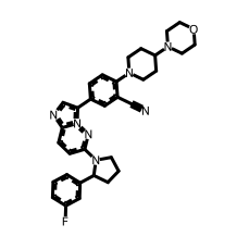 N#Cc1cc(-c2cnc3ccc(N4CCCC4c4cccc(F)c4)nn23)ccc1N1CCC(N2CCOCC2)CC1